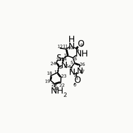 COc1ncc(C2NC(=O)NC(C)=C2c2nc(-c3ccc(N)cc3)cs2)cn1